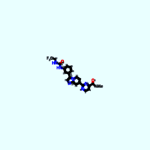 CNC(=O)c1ccnc(-c2ccn3c(-c4cccc(NC(=O)NCC(F)(F)F)c4)cnc3c2)n1